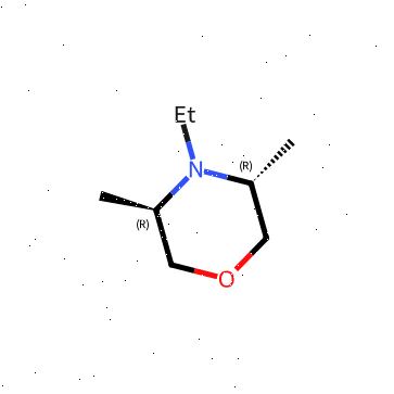 CCN1[C@H](C)COC[C@H]1C